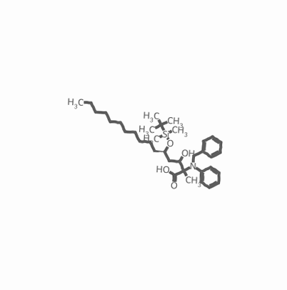 CCCCCCCCCCC[C@H](CC(O)C(C)(C(=O)O)N(Cc1ccccc1)c1ccccc1)O[Si](C)(C)C(C)(C)C